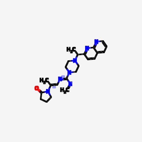 C=N/C(=N\C=C(/C)N1CCCC1=O)N1CCN(C(C)c2ccc3cccnc3n2)CC1